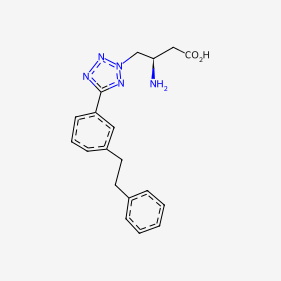 N[C@H](CC(=O)O)Cn1nnc(-c2cccc(CCc3ccccc3)c2)n1